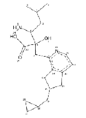 CC(C)CC(N)C(O)(Cc1nccc2c1CC(CC1CC1)C2)C(=O)O